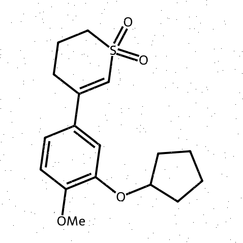 COc1ccc(C2=CS(=O)(=O)CCC2)cc1OC1CCCC1